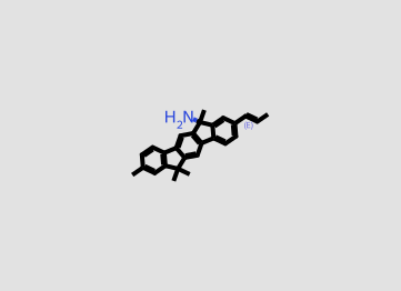 C/C=C/c1ccc2c(c1)C(C)(N)c1cc3c(cc1-2)C(C)(C)c1cc(C)ccc1-3